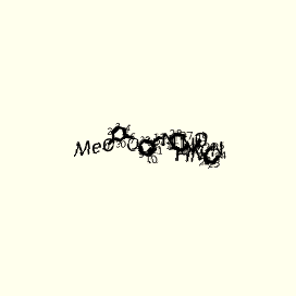 COc1cccc(COc2cccc(CN3CCN(C(=O)Nc4cccnc4)CC3)c2)c1